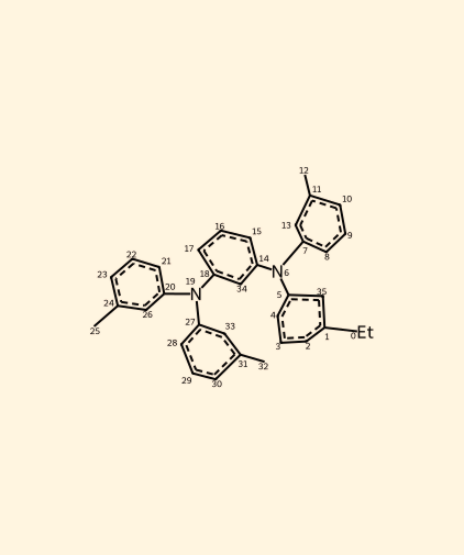 CCc1cccc(N(c2cccc(C)c2)c2cccc(N(c3cccc(C)c3)c3cccc(C)c3)c2)c1